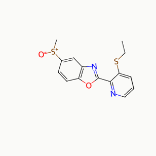 CCSc1cccnc1-c1nc2cc([S+](C)[O-])ccc2o1